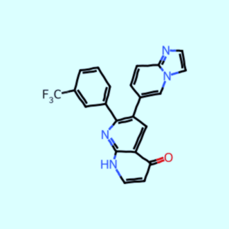 O=c1cc[nH]c2nc(-c3cccc(C(F)(F)F)c3)c(-c3ccc4nccn4c3)cc12